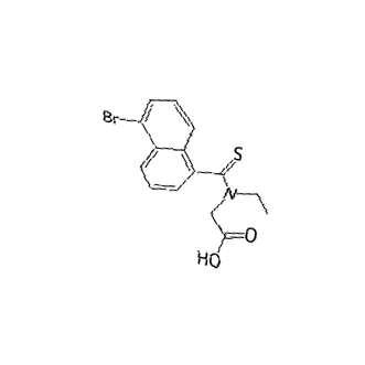 CCN(CC(=O)O)C(=S)c1cccc2c(Br)cccc12